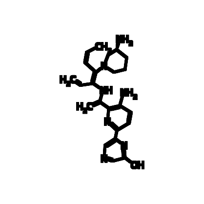 C=C/C(NC(=C)c1nc(-c2cncc(O)n2)ccc1N)=C(\C=C/C)N1CCC[C@H](N)C1